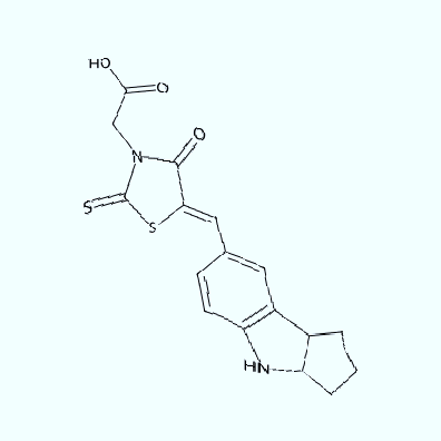 O=C(O)CN1C(=O)/C(=C/c2ccc3c(c2)C2CCCC2N3)SC1=S